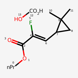 CCCOC(=O)C(F)=CC1CC1(C)C.O=C(O)O